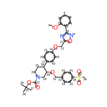 COc1ccccc1-c1noc(COc2ccc(C3CCN(C(=O)OC(C)(C)C)CC3OCc3ccc(S(C)(=O)=O)cc3)cc2)n1